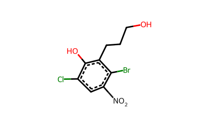 O=[N+]([O-])c1cc(Cl)c(O)c(CCCO)c1Br